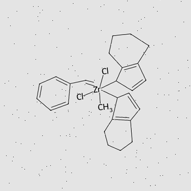 [CH3][Zr]([Cl])([Cl])(=[CH]c1ccccc1)([CH]1C=CC2=C1CCCC2)[CH]1C=CC2=C1CCCC2